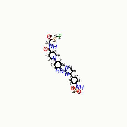 CS(=O)(=O)Nc1ccc(-c2ccnc(Nc3ccc(N4CCC(C(=O)NCC(=O)SCF)CC4)cc3)n2)cc1